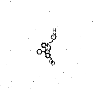 COOCc1ccc2c(C3CCCCC3)c3n(c2c1)CCN(CCC1CCNCC1)c1ccccc1-3